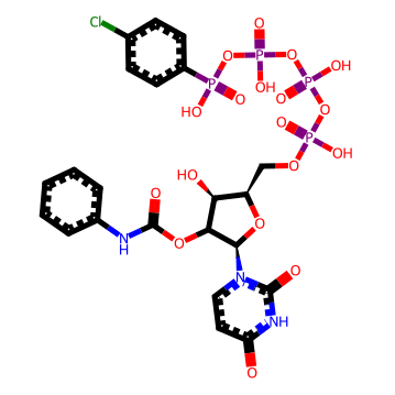 O=C(Nc1ccccc1)OC1[C@@H](O)[C@@H](COP(=O)(O)OP(=O)(O)OP(=O)(O)OP(=O)(O)c2ccc(Cl)cc2)O[C@H]1n1ccc(=O)[nH]c1=O